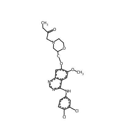 CCC(=O)CN1CCOC(COc2cc3ncnc(Nc4ccc(Cl)c(Cl)c4)c3cc2OC)C1